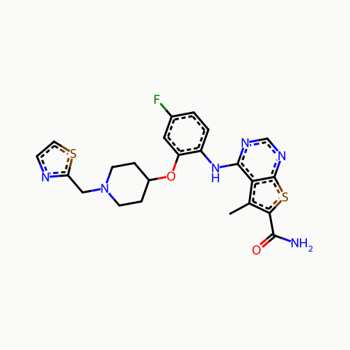 Cc1c(C(N)=O)sc2ncnc(Nc3ccc(F)cc3OC3CCN(Cc4nccs4)CC3)c12